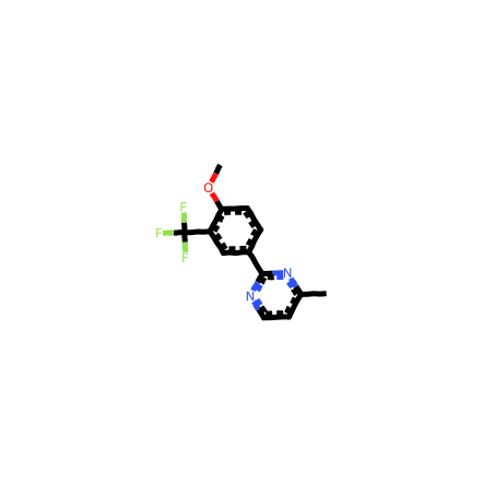 COc1ccc(-c2nccc(C)n2)cc1C(F)(F)F